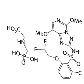 COc1cnc(OC)n2nc(NS(=O)(=O)c3c(OCC(F)F)cccc3C(F)(F)F)nc12.O=C(O)CNCP(=O)(O)O